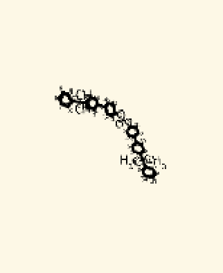 CC(C)(c1ccccc1)c1ccc(-c2ccc(OC(=O)Oc3ccc(-c4ccc(C(C)(C)c5ccccc5)cc4)cc3)cc2)cc1